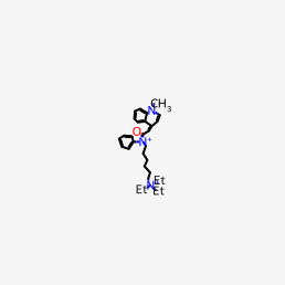 CC[N+](CC)(CC)CCCCCC[n+]1c(/C=C2/C=CN(C)c3ccccc32)oc2ccccc21